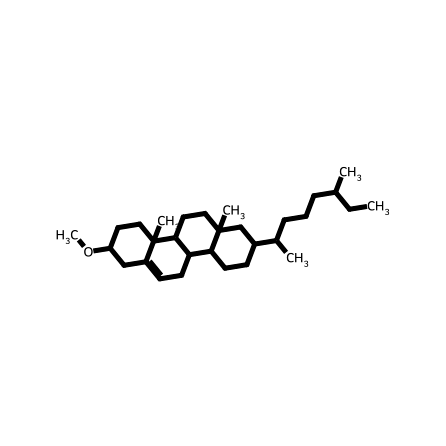 CCC(C)CCCC(C)C1CCC2C3CC=C4CC(OC)CCC4(C)C3CCC2(C)C1